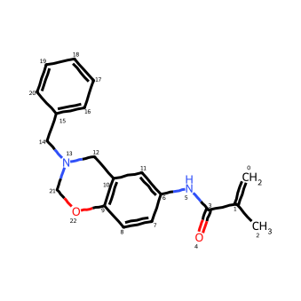 C=C(C)C(=O)Nc1ccc2c(c1)CN(Cc1ccccc1)CO2